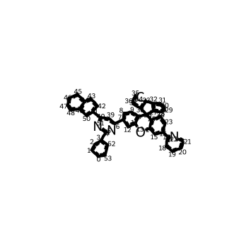 c1ccc(-c2nc(-c3ccc4c(c3)Oc3cc(-c5ccccn5)ccc3C43c4ccccc4-c4ccccc43)cc(-c3ccc4ccccc4c3)n2)cc1